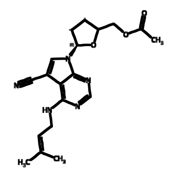 CC(=O)OCC1[CH][CH][C@H](n2cc(C#N)c3c(NCC=C(C)C)ncnc32)O1